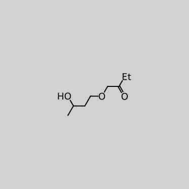 CCC(=O)COCCC(C)O